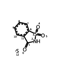 O=C1NS(=O)(=O)c2ccccc21.[S]